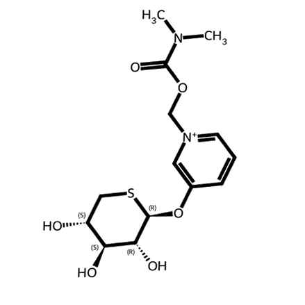 CN(C)C(=O)OC[n+]1cccc(O[C@@H]2SC[C@@H](O)[C@H](O)[C@H]2O)c1